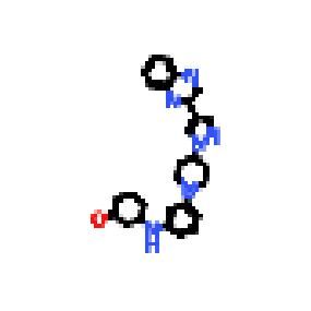 O=C1CCCC(Nc2cccc(N3CCC(n4cc(-c5cnc6ccccc6n5)cn4)CC3)c2)C1